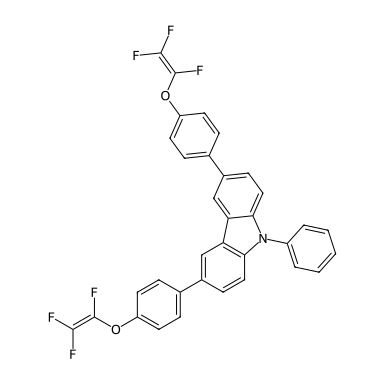 FC(F)=C(F)Oc1ccc(-c2ccc3c(c2)c2cc(-c4ccc(OC(F)=C(F)F)cc4)ccc2n3-c2ccccc2)cc1